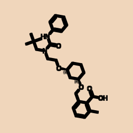 Cc1cccc(CO[C@@H]2CCC[C@H](OCCN(CC(C)(C)C)C(=O)Nc3ccccc3)C2)c1C(=O)O